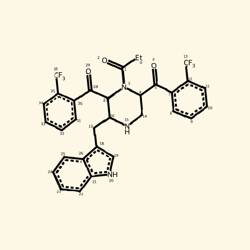 CCC(=O)N1C(C(=O)c2ccccc2C(F)(F)F)CNC(Cc2c[nH]c3ccccc23)C1C(=O)c1ccccc1C(F)(F)F